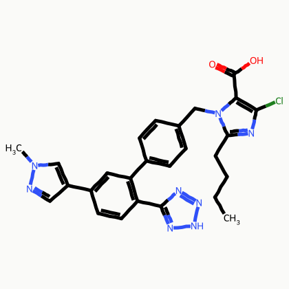 CCCCc1nc(Cl)c(C(=O)O)n1Cc1ccc(-c2cc(-c3cnn(C)c3)ccc2-c2nn[nH]n2)cc1